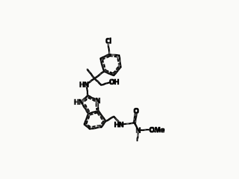 CON(C)C(=O)NCc1cccc2[nH]c(NC(C)(CO)c3cccc(Cl)c3)nc12